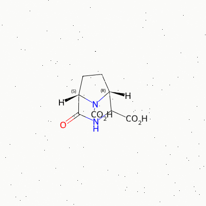 O=C(O)C1NC(=O)[C@@H]2CC[C@H]1N2C(=O)O